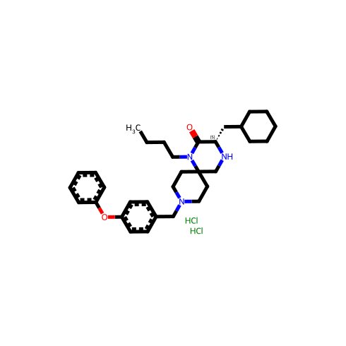 CCCCN1C(=O)[C@H](CC2CCCCC2)NCC12CCN(Cc1ccc(Oc3ccccc3)cc1)CC2.Cl.Cl